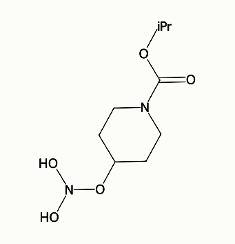 CC(C)OC(=O)N1CCC(ON(O)O)CC1